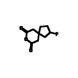 O=C1CC2(CCC(F)C2)CC(=O)O1